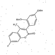 COc1ccc(-c2c(C)c3ccc(F)cc3oc2=O)c(OC)c1